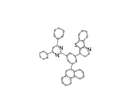 c1ccc(-c2cc(-c3ccccc3)nc(-c3cc(-c4cc5ccccc5c5ccccc45)cc(-c4ccnc5c4sc4ccccc45)c3)n2)cc1